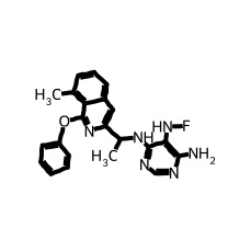 Cc1cccc2cc(C(C)Nc3ncnc(N)c3NF)nc(Oc3ccccc3)c12